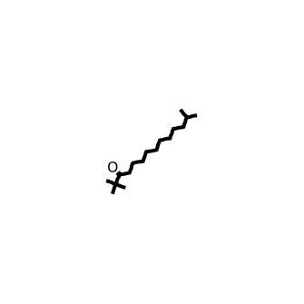 CC(C)CCCCCCCCCC(=O)C(C)(C)C